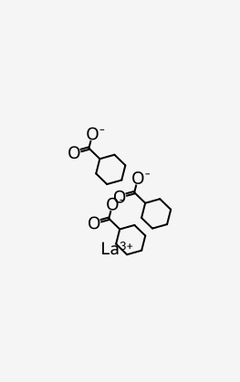 O=C([O-])C1CCCCC1.O=C([O-])C1CCCCC1.O=C([O-])C1CCCCC1.[La+3]